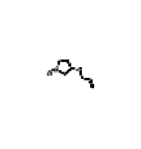 C=CCOC1CC[PH](=O)C1